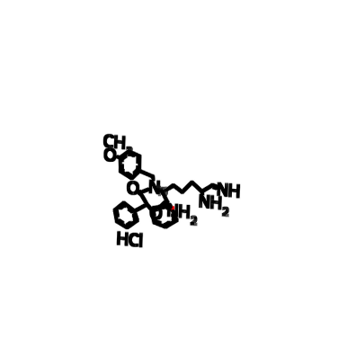 COc1ccc(CN(C(=O)C(c2ccccc2)c2ccccc2)[C@@H](CCCC(N)C=N)C(N)=O)cc1.Cl